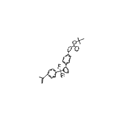 C=C(C)c1ccc(C(F)(F)Oc2ccc(OC(=O)OC(C)(C)C)cc2)cc1